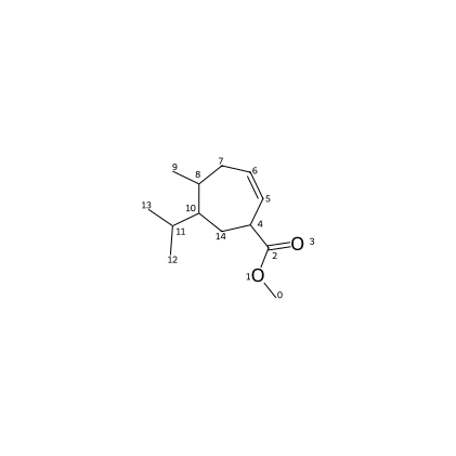 COC(=O)C1C=CCC(C)C(C(C)C)C1